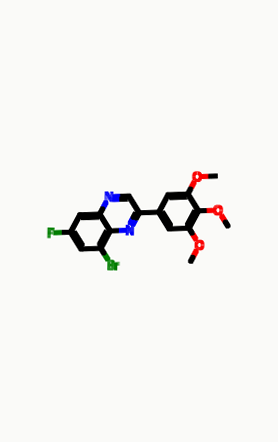 COc1cc(-c2cnc3cc(F)cc(Br)c3n2)cc(OC)c1OC